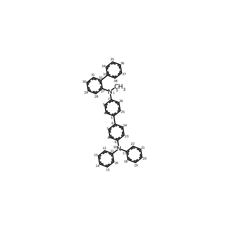 CN(c1ccc(-c2ccc(N(c3ccccc3)c3ccccc3)cc2)cc1)c1ccccc1-c1ccccc1